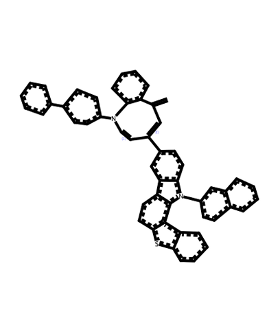 C=C1/C=C(c2ccc3c(c2)c2ccc4sc5ccccc5c4c2n3-c2ccc3ccccc3c2)\C=C/N(c2ccc(-c3ccccc3)cc2)c2ccccc21